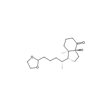 C[C@H](CCCC1OCCO1)[C@H]1CC[C@H]2C(=O)CCC[C@]12C